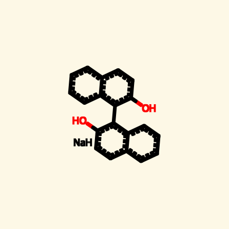 Oc1ccc2ccccc2c1-c1c(O)ccc2ccccc12.[NaH]